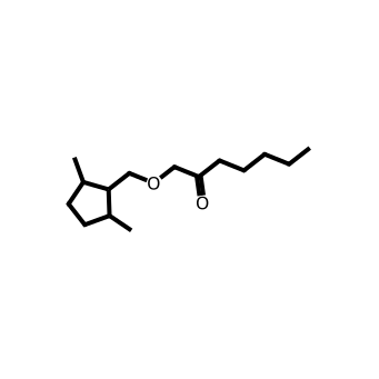 CCCCCC(=O)COCC1C(C)CCC1C